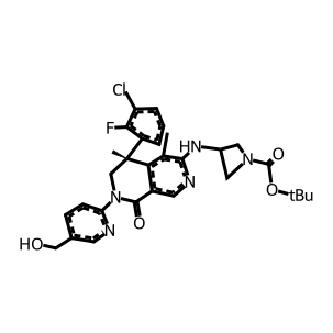 Cc1c(NC2CN(C(=O)OC(C)(C)C)C2)ncc2c1[C@@](C)(c1cccc(Cl)c1F)CN(c1ccc(CO)cn1)C2=O